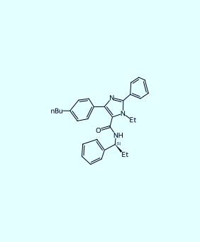 CCCCc1ccc(-c2nc(-c3ccccc3)n(CC)c2C(=O)N[C@@H](CC)c2ccccc2)cc1